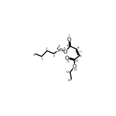 CCC[CH2][Sn][O]C(=O)/C=C\C(=O)OCC